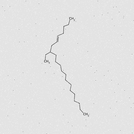 [CH2]CCCC=CCC(CC)CCCCCCCCCCCC[CH2]